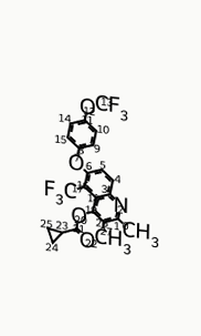 Cc1nc2ccc(Oc3ccc(OC(F)(F)F)cc3)c(C(F)(F)F)c2c(OC(=O)C2CC2)c1C